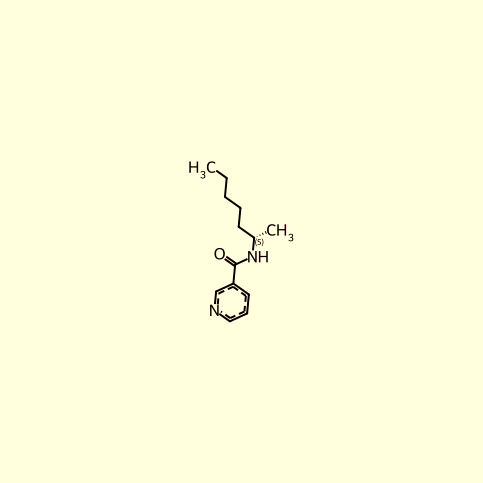 CCCCC[C@H](C)NC(=O)c1cccnc1